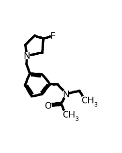 CCN(Cc1cccc(CN2CCC(F)C2)c1)C(C)=O